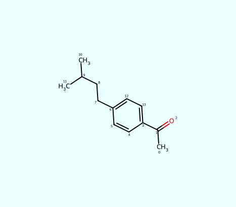 CC(=O)c1ccc(CCC(C)C)cc1